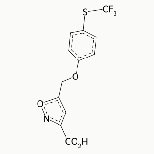 O=C(O)c1cc(COc2ccc(SC(F)(F)F)cc2)on1